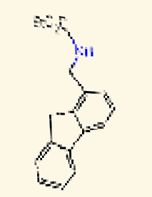 CCOC(=O)NCc1cccc2c1Cc1ccccc1-2